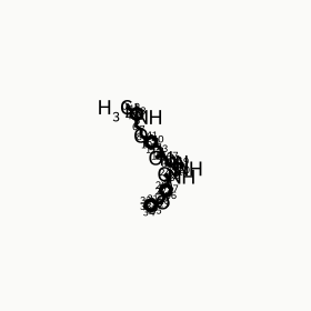 CN1CCNC(CCOc2ccc(CC(=O)N3Cc4n[nH]c(NC(=O)c5ccc(Oc6ccccc6)cc5)c4C3)cc2)C1